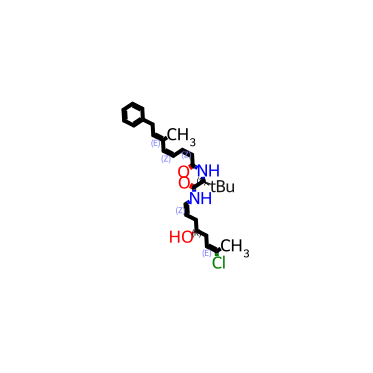 C/C(Cl)=C\C[C@H](O)C/C=C\NC(=O)[C@@H](NC(=O)\C=C/C=C\C(C)=C\Cc1ccccc1)C(C)(C)C